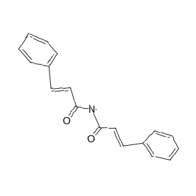 O=C(C=Cc1ccccc1)[N]C(=O)C=Cc1ccccc1